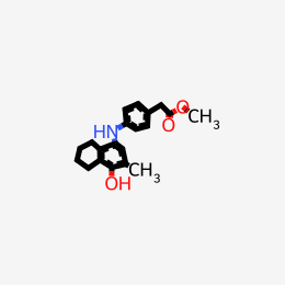 COC(=O)Cc1ccc(Nc2cc(C)c(O)c3c2CCCC3)cc1